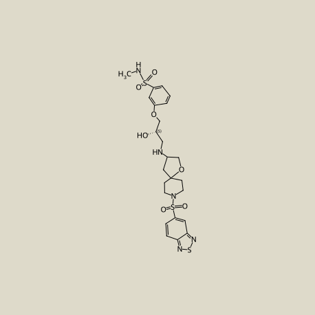 CNS(=O)(=O)c1cccc(OC[C@@H](O)CNC2COC3(CCN(S(=O)(=O)c4ccc5nsnc5c4)CC3)C2)c1